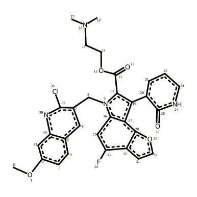 COc1ccc2cc(Cn3c(C(=O)OCCN(C)C)c(-c4ccc[nH]c4=O)c4c5occc5c(F)cc43)c(Cl)nc2c1